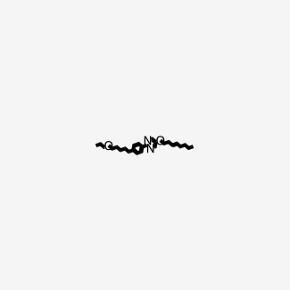 CCCCC=CCCOc1cnc(-c2ccc(CCCCCOCCC)cc2)nc1